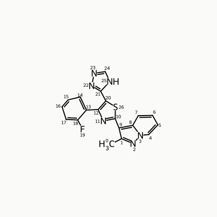 Cc1nn2ccccc2c1-c1nc(-c2ccccc2F)c(-c2nnc[nH]2)s1